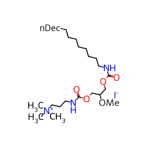 CCCCCCCCCCCCCCCCCCNC(=O)OCC(COC(=O)NCCC[N+](C)(C)C)OC.[I-]